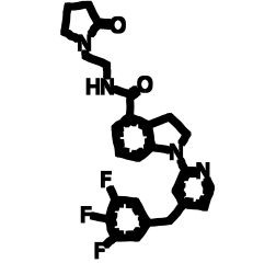 O=C(NCCN1CCCC1=O)c1cccc2c1CCN2c1cc(Cc2cc(F)c(F)c(F)c2)ccn1